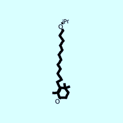 CC1=C(CCCCCCCCCCCCOC(C)C)C(C)(C)CCC1=O